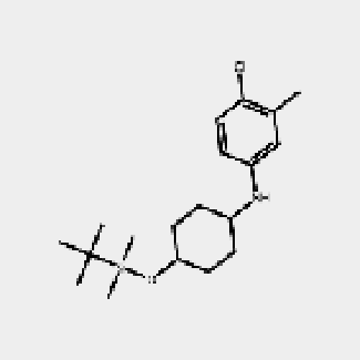 Cc1cc(NC2CCC(O[Si](C)(C)C(C)(C)C)CC2)ccc1Cl